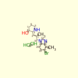 C/C(=C\C1NCCCC1O)Cn1cnc2c(C)c(Br)ccc21.Cl.Cl